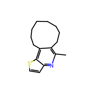 Cc1nc2ccsc2c2c1CCCCCCCC2